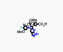 COCC(C)(C)c1c([C@@H]2CCC(C(=O)O)C2)c2nc3[nH]ncc3cc2n1-c1ccc(F)c(OC)c1